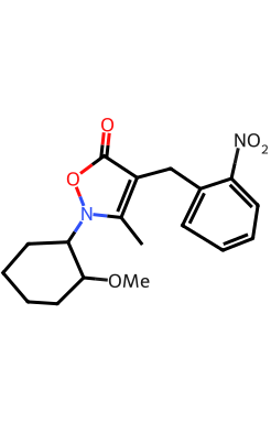 COC1CCCCC1n1oc(=O)c(Cc2ccccc2[N+](=O)[O-])c1C